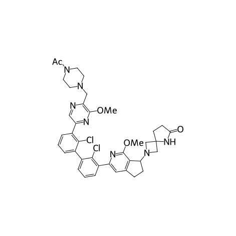 COc1nc(-c2cccc(-c3cccc(-c4cc5c(c(OC)n4)C(N4CC6(CCC(=O)N6)C4)CC5)c3Cl)c2Cl)cnc1CN1CCN(C(C)=O)CC1